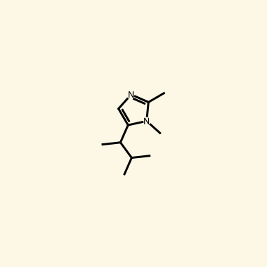 Cc1ncc(C(C)C(C)C)n1C